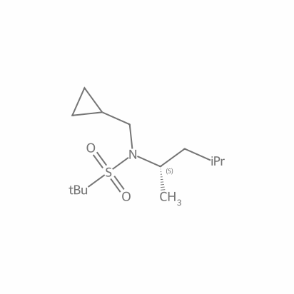 CC(C)C[C@H](C)N(CC1CC1)S(=O)(=O)C(C)(C)C